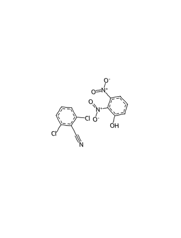 N#Cc1c(Cl)cccc1Cl.O=[N+]([O-])c1cccc(O)c1[N+](=O)[O-]